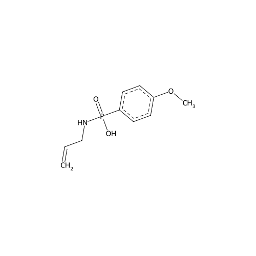 C=CCNP(=O)(O)c1ccc(OC)cc1